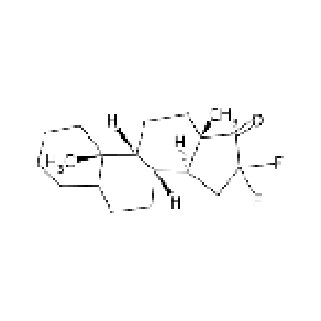 C[C@]12CCCCC1CC[C@@H]1[C@H]2CC[C@]2(C)C(=O)C(F)(F)C[C@@H]12